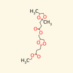 CCOC(=O)CCC1OCC(COC(=O)CCC2(C)OCC(C)O2)O1